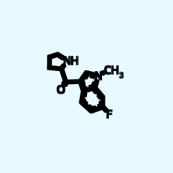 Cn1cc(C(=O)C2CCCN2)c2ccc(F)cc21